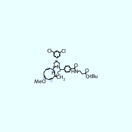 C=C1/C=C\C(OC)=C/C/C=C\C([C@H]2C[C@H](c3cc(Cl)cc(Cl)c3)CN2C(C)c2ccc(C(=O)NCCC(=O)OC(C)(C)C)cc2)=C/1